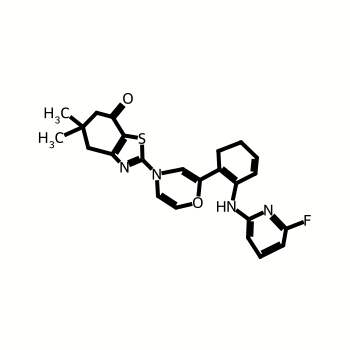 CC1(C)CC(=O)c2sc(N3C=COC(C4=C(Nc5cccc(F)n5)C=CCC4)=C3)nc2C1